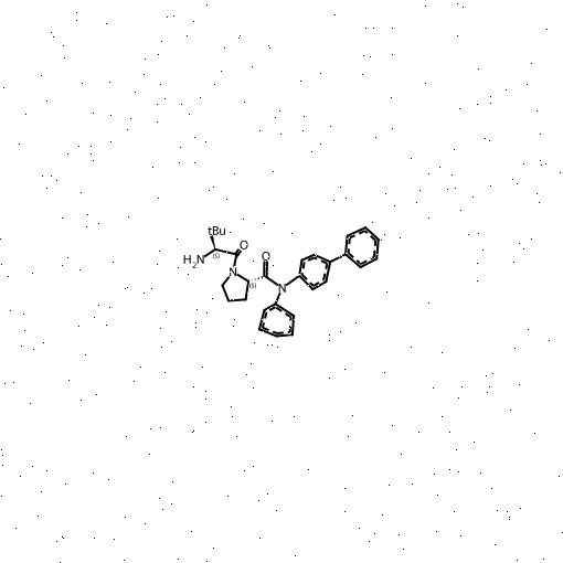 CC(C)(C)[C@H](N)C(=O)N1CCC[C@H]1C(=O)N(c1ccccc1)c1ccc(-c2ccccc2)cc1